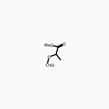 COC(=O)C(C)O[C]=O